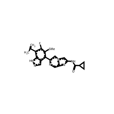 C=C(C)c1c(F)c(SC)c(-c2cn3cc(NC(=O)C4CC4)nc3cn2)c2cn[nH]c12